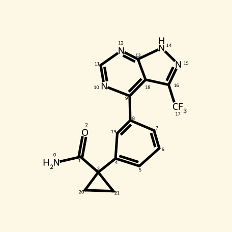 NC(=O)C1(c2cccc(-c3ncnc4[nH]nc(C(F)(F)F)c34)c2)CC1